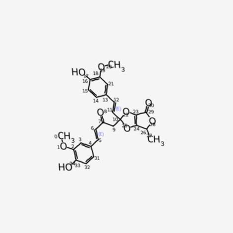 COc1cc(/C=C/C(=O)CC2(/C=C/c3ccc(O)c(OC)c3)OC3=C(O2)C(C)OC3=O)ccc1O